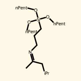 CCCCCO[Si](CCCN=C(C)CC(C)C)(OCCCCC)OCCCCC